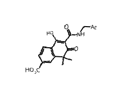 CC(=O)CNC(=O)C1=C(O)c2ccc(C(=O)O)cc2C(C)(C)C1=O